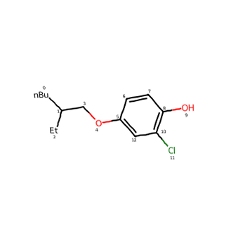 CCCCC(CC)COc1ccc(O)c(Cl)c1